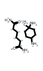 CC1(N)CCC(N)CC1.NC(=O)CCCCC(N)=O